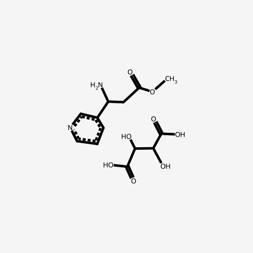 COC(=O)CC(N)c1cccnc1.O=C(O)C(O)C(O)C(=O)O